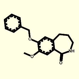 COc1cc2c(cc1OCc1ccccc1)CCCNC2=O